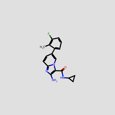 Cc1c(F)cccc1-c1ccc2nc(N)c(C(=O)NC3CC3)n2c1